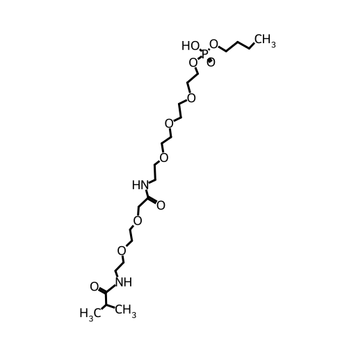 CCCCOP(=O)(O)OCCOCCOCCOCCNC(=O)COCCOCCNC(=O)C(C)C